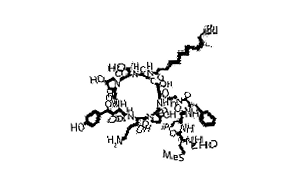 CC[C@H](C)C[C@H](C)CCCCCCCCC(=O)N[C@H]1C[C@@H](O)[C@@H](OCCNC(=O)[C@H](Cc2ccccc2)NC(=O)[C@H](CC(C)C)NC(=O)[C@H](CCSC)NC=O)NC(=O)[C@@H]2[C@@H](O)CCN2C(=O)[C@H]([C@H](O)CCN)NC(=O)[C@H]([C@H](O)[C@@H](O)c2ccc(O)cc2)NC(=O)[C@@H]2C[C@@H](O)CN2C(=O)[C@H]([C@@H](C)O)NC1=O